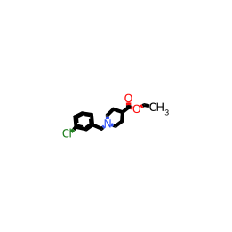 CCOC(=O)C1CCN(Cc2cccc(Cl)c2)CC1